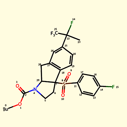 CC(C)(C)OC(=O)N1CCC2(S(=O)(=O)c3ccc(F)cc3)c3ccc(C(C)(F)C(F)(F)F)cc3CC12